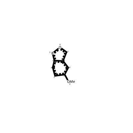 COc1ccc2bocc2c1